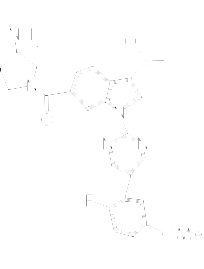 COc1ccc(F)c(-c2cnc(-n3cc([S+](C)[O-])c4ccc(C(=O)N5CCC(N)C5)cc43)nc2)c1